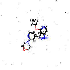 COCCOc1nccc2[nH]nc(-c3ccnc(N4CCOCC4)c3)c12